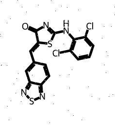 O=C1N=C(Nc2c(Cl)cccc2Cl)S/C1=C\c1ccc2nsnc2c1